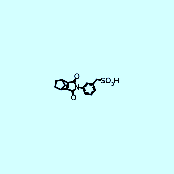 O=C1C2=C(C(=O)N1c1cccc(CS(=O)(=O)O)c1)C1CCC2C1